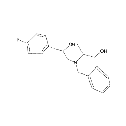 CC(CO)N(Cc1ccccc1)CC(O)c1ccc(F)cc1